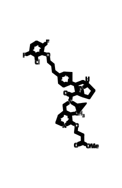 COC(=O)CCOc1nccc(CN(C(=O)C2=C(c3ccc(CCCOc4c(F)ccc(F)c4Cl)cc3)C[C@@H]3CCC2N3)C2CC2)c1C